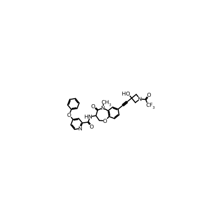 CN1C(=O)C(NC(=O)c2cc(Oc3ccccc3)ccn2)COc2ccc(C#CC3(O)CN(C(=O)C(F)(F)F)C3)cc21